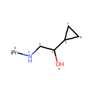 CC(C)NCC(O)C1CC1